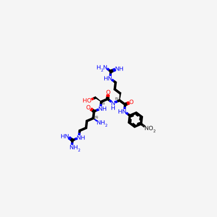 N=C(N)NCCC[C@H](NC(=O)[C@H](CO)NC(=O)[C@@H](N)CCCNC(=N)N)C(=O)Nc1ccc([N+](=O)[O-])cc1